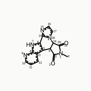 CN1C(=O)C2c3c([nH]c4ncccc34)-c3nccn3C2C1=O